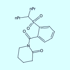 CCCC(CCC)S(=O)(=O)c1ccccc1C(=O)N1CCCCC1=O